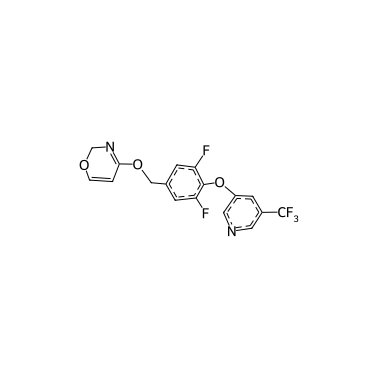 Fc1cc(COC2=NCOC=C2)cc(F)c1Oc1cncc(C(F)(F)F)c1